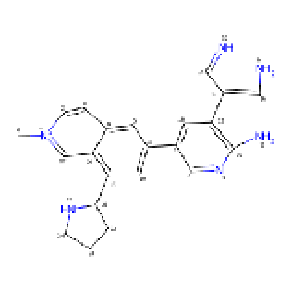 C[n+]1ccc2cc(-c3cnc(N)c(/C(C=N)=C/N)c3)cc(C3CCCN3)c2c1